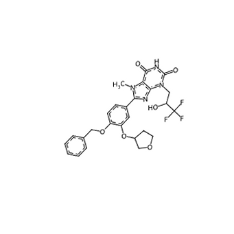 Cn1c(-c2ccc(OCc3ccccc3)c(OC3CCOC3)c2)nc2c1c(=O)[nH]c(=O)n2CC(O)C(F)(F)F